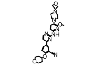 COc1nc(Nc2nccc(-c3ccc(OC4CCOCC4)c(C#N)c3)n2)ccc1N1CCN(C2COC2)CC1